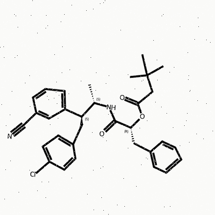 C[C@H](NC(=O)[C@@H](Cc1ccccc1)OC(=O)CC(C)(C)C)[C@@H](Cc1ccc(Cl)cc1)c1cccc(C#N)c1